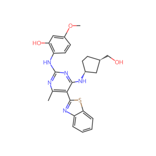 COc1ccc(Nc2nc(C)c(-c3nc4ccccc4s3)c(N[C@H]3CC[C@@H](CO)C3)n2)c(O)c1